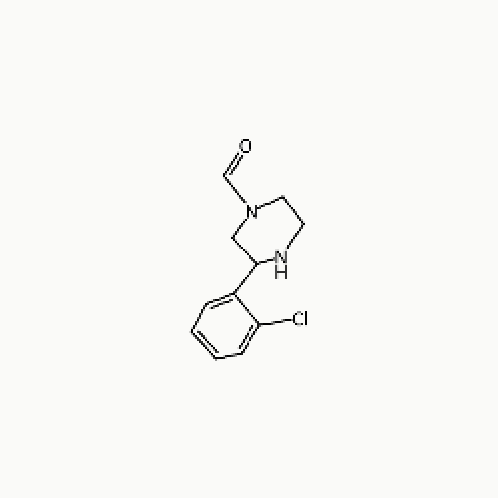 O=CN1CCNC(c2ccccc2Cl)C1